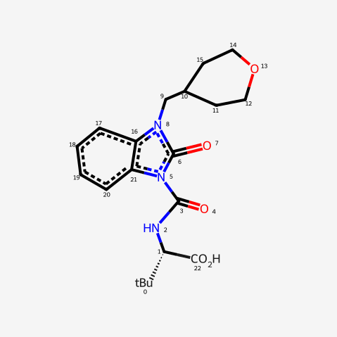 CC(C)(C)[C@H](NC(=O)n1c(=O)n(CC2CCOCC2)c2ccccc21)C(=O)O